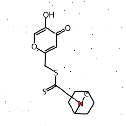 O=c1cc(CSC(=S)N2CC3CCC(CC3)C2)occ1O